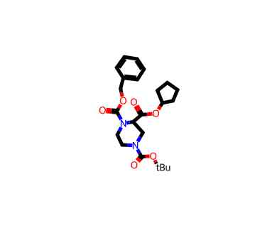 CC(C)(C)OC(=O)N1CCN(C(=O)OCc2ccccc2)C(C(=O)OC2CCCC2)C1